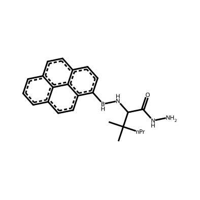 CCCC(C)(C)C(NBc1ccc2ccc3cccc4ccc1c2c34)C(=O)NN